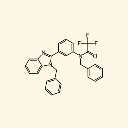 O=C(N(Cc1ccccc1)c1cccc(-c2nc3ccccc3n2Cc2ccccc2)c1)C(F)(F)F